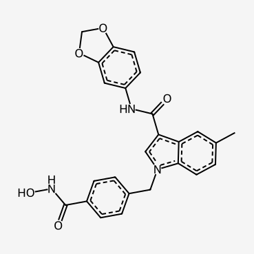 Cc1ccc2c(c1)c(C(=O)Nc1ccc3c(c1)OCO3)cn2Cc1ccc(C(=O)NO)cc1